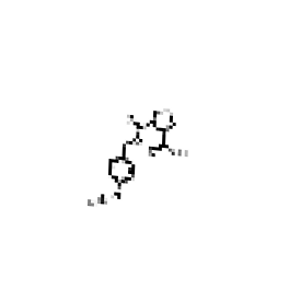 [N-]=[N+]=Nc1ccc(COC(=O)N2CSCC2C(=O)O)cc1